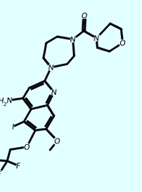 COc1cc2nc(N3CCCN(C(=O)N4CCOCC4)CC3)cc(N)c2c(I)c1OCC(F)(F)F